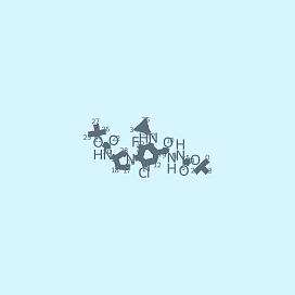 CC(C)(C)OC(=O)NNC(=O)c1cc(Cl)c(N2CCC(NC(=O)OC(C)(C)C)C2)c(F)c1NC1CC1